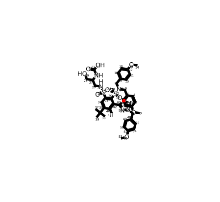 COc1ccc(CN(Cc2ccc(OC)cc2)S(=O)(=O)c2c(S(=O)(=O)NCC(CO)NC(=O)O)cc(C(C)(C)C)c(I)c2-c2nnn(Cc3ccc(OC)cc3)n2)cc1